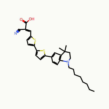 CCCCCCCCN1CCC(C)(C)c2cc(-c3ccc(-c4ccc(/C=C(\C#N)C(=O)O)s4)s3)ccc21